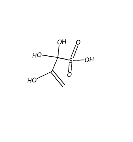 C=C(O)C(O)(O)S(=O)(=O)O